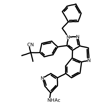 CC(=O)Nc1cncc(-c2ccc3ncc4nn(Cc5ccccc5)c(-c5ccc(C(C)(C)C#N)cc5)c4c3c2)c1